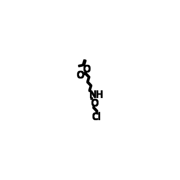 C=C(C)OC(=O)CCCCNCOCCCl